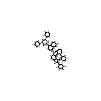 c1ccc(-c2nc(-c3ccccc3)nc(-c3ccc(-n4c5cccc6c5c5c7c(c(-c8ccccc8)oc7ccc54)-c4ccccc4-6)c4ccccc34)n2)cc1